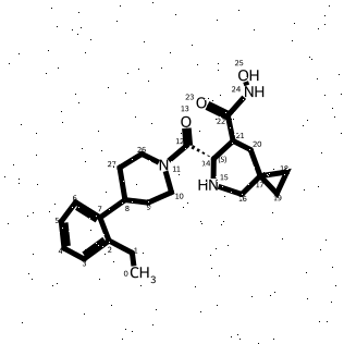 CCc1ccccc1C1CCN(C(=O)[C@H]2NCC3(CC3)CC2C(=O)NO)CC1